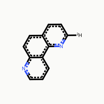 [2H]c1ccc2ccc3ncccc3c2n1